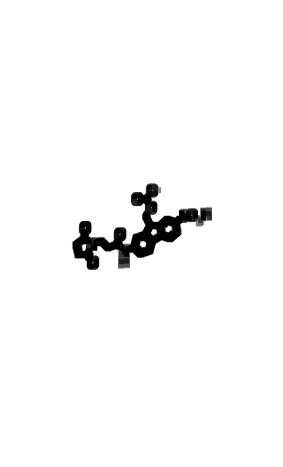 [O]C(=O)OCC1c2cc(NC(=O)CCN3C(=O)C=CC3=O)ccc2-c2ccc(S(=O)(=O)O)cc21